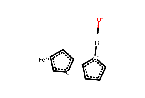 C[O-].[Fe+2].[Li][c-]1cccc1.c1cc[cH-]c1